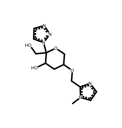 Cn1ccnc1COC1COC(CO)(n2ccnn2)C(O)C1